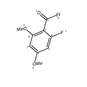 CCC(=O)c1c(F)cc(OC)cc1OC